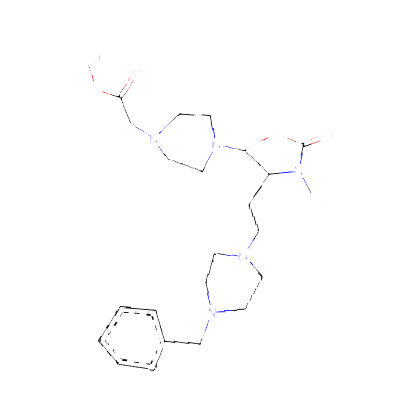 COC(=O)CN1CCN(C2OC(=O)N(C)C2CCN2CCN(Cc3ccccc3)CC2)CC1